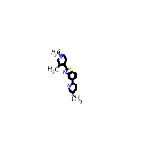 CC1CN(C)CCC1c1nc2cc(C3=NC[C@@H](C)CC3)ccc2s1